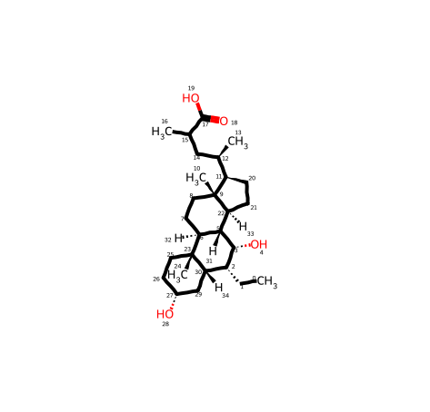 CC[C@H]1[C@@H](O)[C@@H]2[C@H](CC[C@]3(C)[C@@H]([C@H](C)CC(C)C(=O)O)CC[C@@H]23)[C@@]2(C)CC[C@@H](O)C[C@@H]12